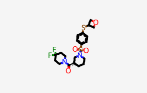 O=C([C@@H]1CCCN(S(=O)(=O)c2ccc(SC3COC3)cc2)C1)N1CCC(F)(F)CC1